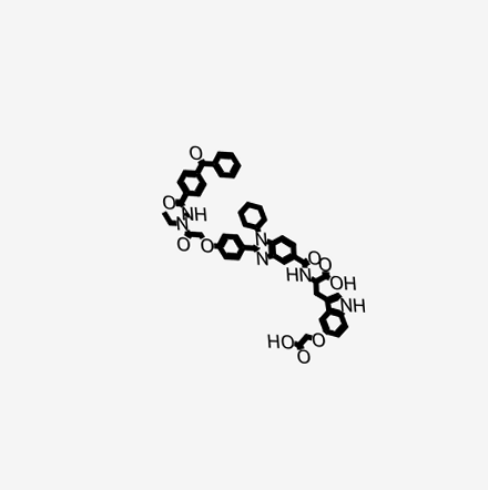 CCN(NC(=O)c1ccc(C(=O)c2ccccc2)cc1)C(=O)COc1ccc(-c2nc3cc(C(=O)NC(Cc4c[nH]c5ccc(OCC(=O)O)cc45)C(=O)O)ccc3n2C2CCCCC2)cc1